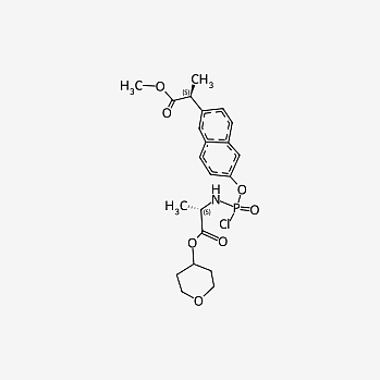 COC(=O)[C@@H](C)c1ccc2cc(OP(=O)(Cl)N[C@@H](C)C(=O)OC3CCOCC3)ccc2c1